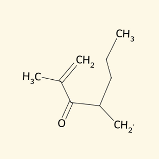 [CH2]C(CCC)C(=O)C(=C)C